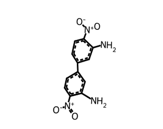 Nc1cc(-c2ccc([N+](=O)[O-])c(N)c2)ccc1[N+](=O)[O-]